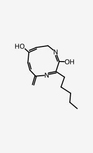 C=C1/C=C\C(O)=C/C/N=C(O)\C(CCCCC)=N/1